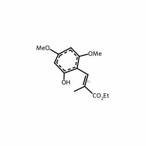 CCOC(=O)/C(C)=C/c1c(O)cc(OC)cc1OC